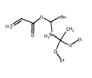 C=CC(=O)OC(CCCC)[SiH2]C(C)(OCC)OCC